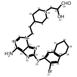 Nc1ncn(CCC2CCN(CC(O)C=O)CC2)c2nc(Sc3cc4c(cc3Br)CCCC4)nc1-2